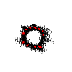 CCCC[C@H]1C(=O)N(C)[C@@H](CCCC)C(=O)NC(C)(C)C(=O)N[C@H](C(=O)NCC(N)=O)CSCC(=O)N[C@@H](Cc2ccc(O)cc2)C(=O)N(C)[C@@H](C)C(=O)N[C@@H](CC(N)=O)C(=O)N2CCC[C@H]2C(=O)N[C@@H](CN)C(=O)N[C@@H](CC(C)C)C(=O)N2CCC[C@H]2C(=O)N[C@@H](Cc2c[nH]c3ccccc23)C(=O)N[C@@H](CCN)C(=O)N[C@@H](Cc2c[nH]c3ccccc23)C(=O)N1C